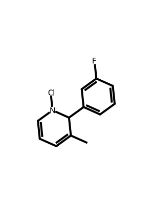 CC1=CC=CN(Cl)C1c1cccc(F)c1